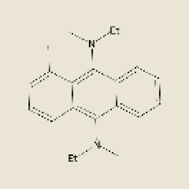 CCN(C)c1c2ccccc2c(N(C)CC)c2c(C)cccc12